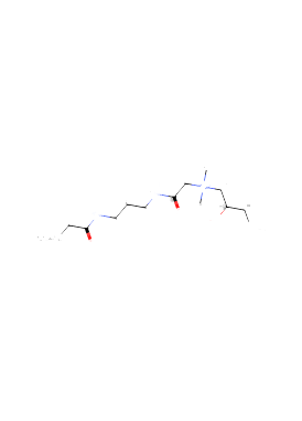 CNCC(=O)NCCCNC(=O)C[N+](C)(C)CC(O)CC(C)(C)C